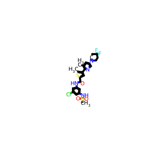 Cc1cc(N2CCC(F)(F)CC2)cnc1-c1cc(C(=O)Nc2cc(Cl)cc(NS(C)(=O)=O)c2)sc1C